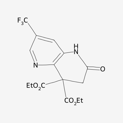 CCOC(=O)C1(C(=O)OCC)CC(=O)Nc2cc(C(F)(F)F)cnc21